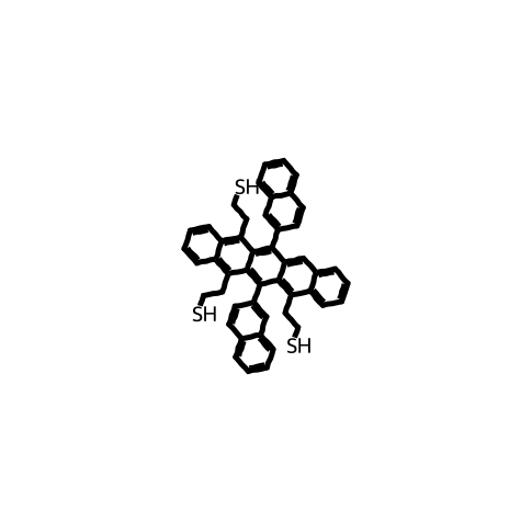 SCCc1c2ccccc2cc2c(-c3ccc4ccccc4c3)c3c(CCS)c4ccccc4c(CCS)c3c(-c3ccc4ccccc4c3)c12